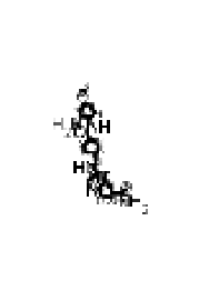 COc1ccc(NC(=O)c2ccc(CNc3cnc4ccc(C(N)=O)cc4n3)cc2)c(N)c1